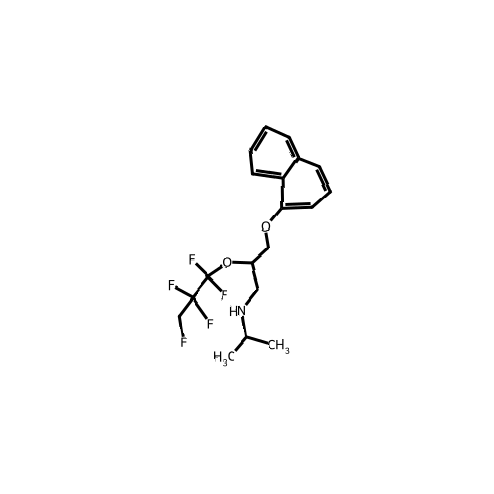 CC(C)NCC(COc1cccc2ccccc12)OC(F)(F)C(F)(F)CF